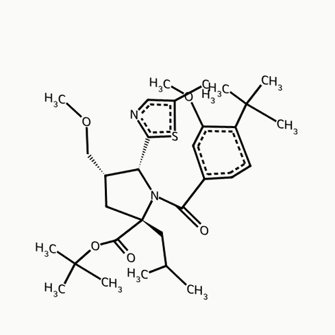 COC[C@H]1C[C@@](CC(C)C)(C(=O)OC(C)(C)C)N(C(=O)c2ccc(C(C)(C)C)c(OC)c2)[C@H]1c1ncc(C)s1